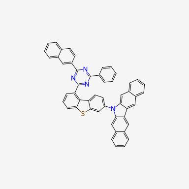 c1ccc(-c2nc(-c3ccc4ccccc4c3)nc(-c3cccc4sc5cc(-n6c7cc8ccccc8cc7c7cc8ccccc8cc76)ccc5c34)n2)cc1